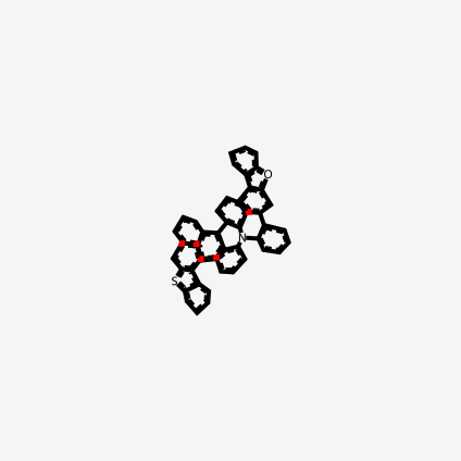 c1cc(-c2cccc3sc4ccccc4c23)cc(N(c2ccccc2-c2ccc3c(c2)oc2ccccc23)c2ccccc2-c2cccc3ccccc23)c1